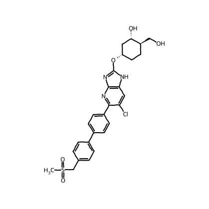 CS(=O)(=O)Cc1ccc(-c2ccc(-c3nc4nc(O[C@H]5CC[C@H](CO)[C@@H](O)C5)[nH]c4cc3Cl)cc2)cc1